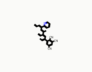 C=C\C=C(/C=C(C)/C(C=C)=C/C(=C\C)c1cc(C#N)cc(C#N)c1C#N)c1ccccn1